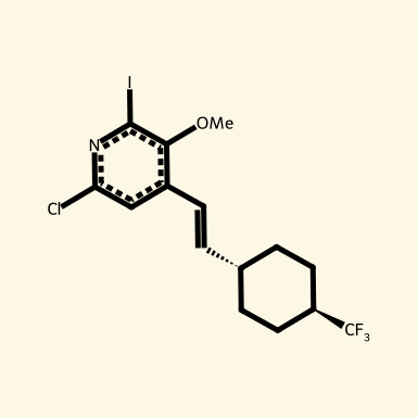 COc1c(/C=C/[C@H]2CC[C@H](C(F)(F)F)CC2)cc(Cl)nc1I